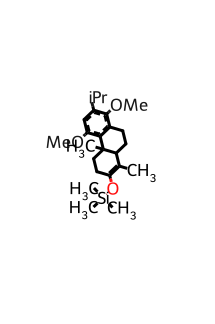 COc1cc(C(C)C)c(OC)c2c1C1(C)CCC(O[Si](C)(C)C)=C(C)C1CC2